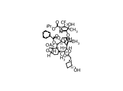 CC(=O)O[C@@]12CO[C@@H]1CC[C@@]1(C)[C@@H]3O[C@H](CN4CC[C@H]4CO)O[C@@H]3C3=C(C)[C@@H](OC(=O)[C@](C)(O)[C@@H](NC(=O)OC(C)C)C(F)(F)F)C[C@@](O)([C@@H](OC(=O)c4ccccc4)[C@@H]12)C3(C)C